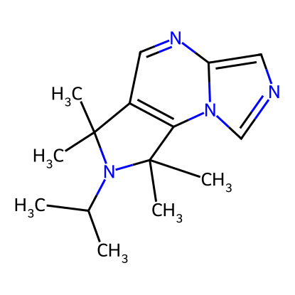 CC(C)N1C(C)(C)c2cnc3cncn3c2C1(C)C